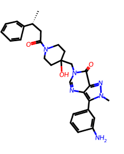 C[C@H](CC(=O)N1CCC(O)(Cn2cnc3c(-c4cccc(N)c4)n(C)nc3c2=O)CC1)c1ccccc1